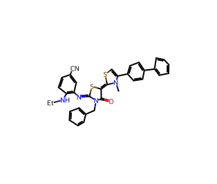 CCNc1ccc(C#N)cc1N=C1SC(=C2SC=C(c3ccc(-c4ccccc4)cc3)N2C)C(=O)N1Cc1ccccc1